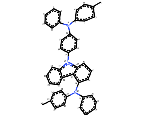 Cc1ccc(N(c2ccccc2)c2ccc(-n3c4ccccc4c4c(N(c5ccccc5)c5ccc(C)cc5)cccc43)cc2)cc1